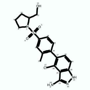 Cc1cc(S(=O)(=O)N2CCCC2CO)ccc1-c1ccc2[nH]nc(N)c2c1Cl